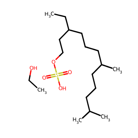 CCC(CCCC(C)CCCC(C)C)CCOS(=O)(=O)O.CCO